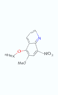 CCCCCCOc1c(OC)cc([N+](=O)[O-])c2ncccc12